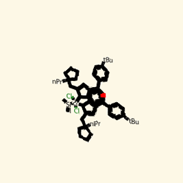 CCCC1(CC2=Cc3c(-c4ccc(C(C)(C)C)cc4)cccc3[CH]2[Zr]([Cl])([Cl])([CH]2C(CC3(CCC)CCCC3)=Cc3c(-c4ccc(C(C)(C)C)cc4)cccc32)[SiH](C)C)CCCC1